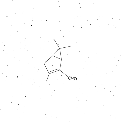 CC1=C(C=O)C2C(C1)C2(C)C